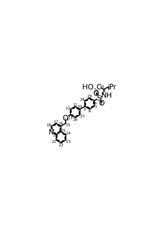 CC(C)C(NS(=O)(=O)c1ccc(-c2ccc(OCc3ccnc4ccccc34)cc2)cc1)C(=O)O